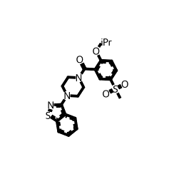 CC(C)Oc1ccc(S(C)(=O)=O)cc1C(=O)N1CCN(c2nsc3ccccc23)CC1